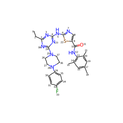 CCc1nc(Nc2ncc(C(=O)Nc3c(C)cc(C)cc3C)s2)nc(N2CCN(c3ccc(F)cc3)CC2)n1